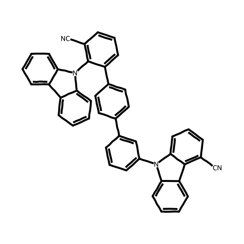 N#Cc1cccc(-c2ccc(-c3cccc(-n4c5ccccc5c5c(C#N)cccc54)c3)cc2)c1-n1c2ccccc2c2ccccc21